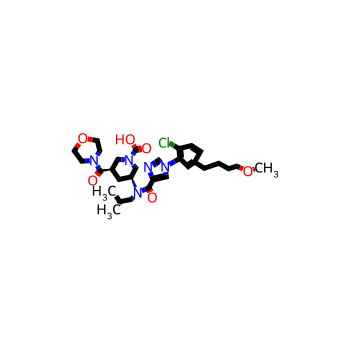 COCCCCc1ccc(Cl)c(-n2cnc(C(=O)N(CC(C)C)[C@H]3C[C@@H](C(=O)N4CCOCC4)CN(C(=O)O)C3)c2)c1